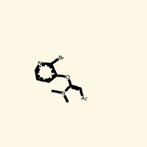 CC(=O)C=C(Oc1cccnc1Br)N(C)C